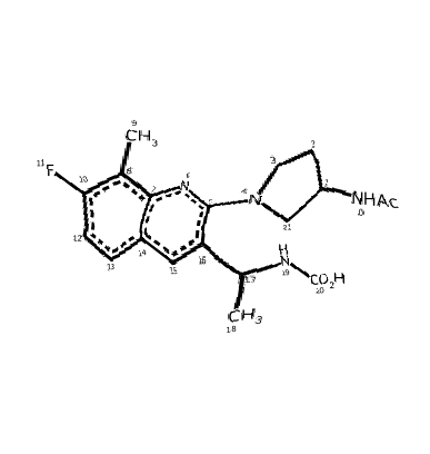 CC(=O)NC1CCN(c2nc3c(C)c(F)ccc3cc2C(C)NC(=O)O)C1